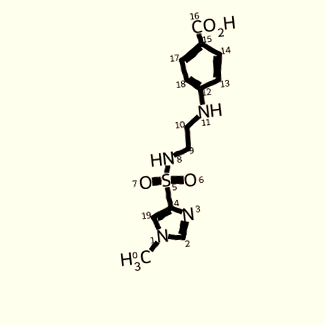 Cn1cnc(S(=O)(=O)NCCNc2ccc(C(=O)O)cc2)c1